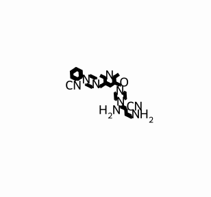 Cc1nc(C)c(C(=O)N2CCN(/C(N)=C(C#N)/C=C\N)CC2)cc1CN1CCN(c2ccccc2C#N)CC1